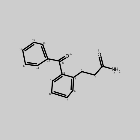 NC(=O)CCc1ccccc1C(=O)c1ccccc1